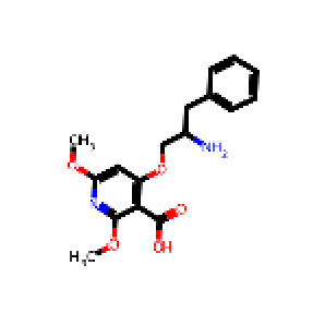 COc1cc(OCC(N)Cc2ccccc2)c(C(=O)O)c(OC)n1